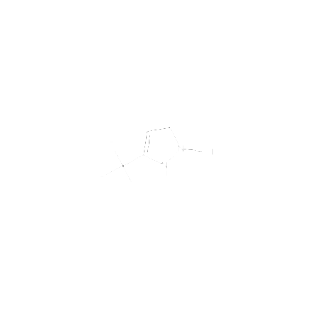 CN1C[C]=C(C(F)(F)F)N1